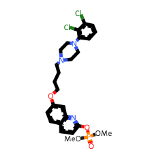 COP(=O)(OC)Oc1ccc2ccc(OCCCCN3CCN(c4cccc(Cl)c4Cl)CC3)cc2n1